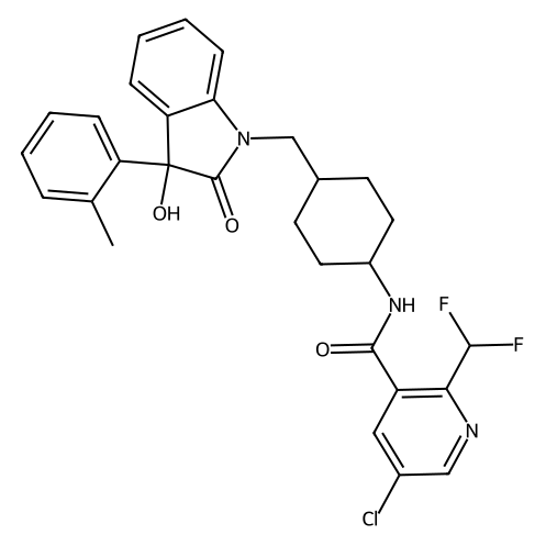 Cc1ccccc1C1(O)C(=O)N(CC2CCC(NC(=O)c3cc(Cl)cnc3C(F)F)CC2)c2ccccc21